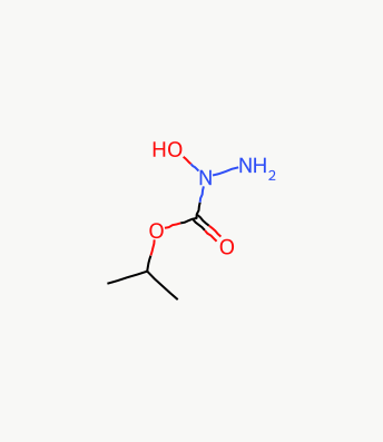 CC(C)OC(=O)N(N)O